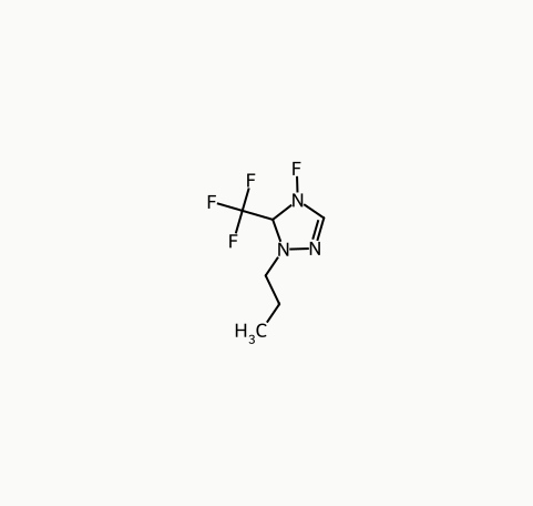 CCCN1N=CN(F)C1C(F)(F)F